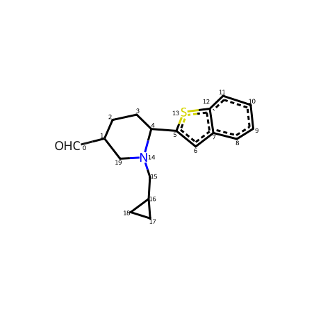 O=CC1CCC(c2cc3ccccc3s2)N(CC2CC2)C1